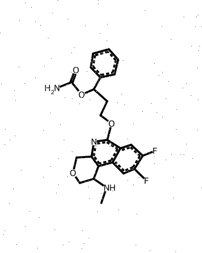 CNC1COCc2nc(OCCC(OC(N)=O)c3ccccc3)c3cc(F)c(F)cc3c21